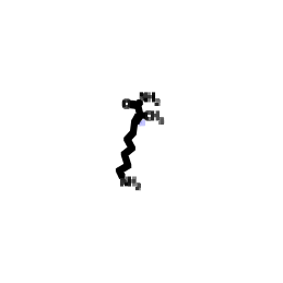 C/C(=C\CCCCCCN)C(N)=O